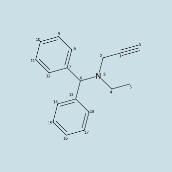 C#CCN(CC)C(c1ccccc1)c1ccccc1